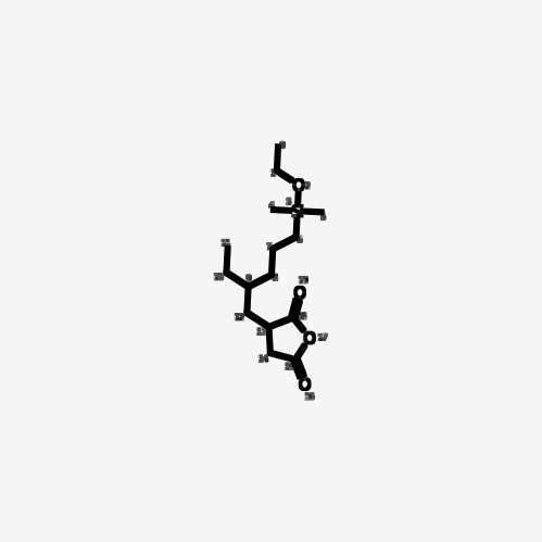 CCO[Si](C)(C)CCCC(CC)CC1CC(=O)OC1=O